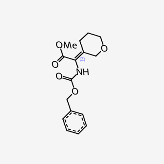 COC(=O)/C(NC(=O)OCc1ccccc1)=C1\CCCOC1